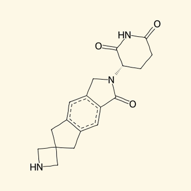 O=C1CC[C@H](N2Cc3cc4c(cc3C2=O)CC2(CNC2)C4)C(=O)N1